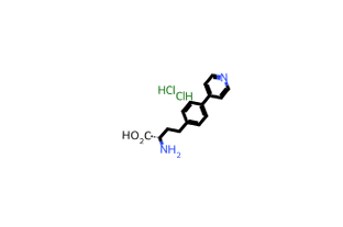 Cl.Cl.N[C@@H](CCc1ccc(-c2ccncc2)cc1)C(=O)O